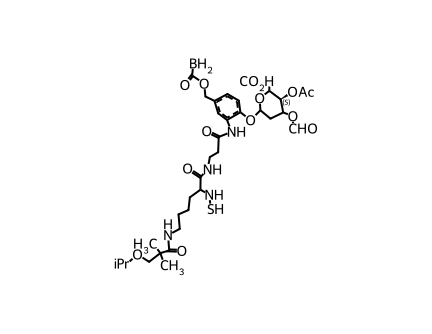 BC(=O)OCc1ccc(OC2CC(OC=O)[C@H](OC(C)=O)C(C(=O)O)O2)c(NC(=O)CCNC(=O)C(CCCCNC(=O)C(C)(C)COC(C)C)NS)c1